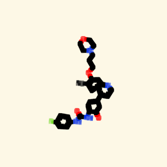 N#Cc1cc2c(C3=CC=C(NC(=O)Nc4ccc(F)cc4)C(=O)C3)ccnc2cc1OCCCN1CCOCC1